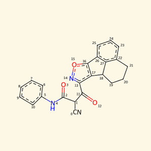 N#CC(C(=O)Nc1ccccc1)C(=O)c1noc2c1C1CCCc3cccc-2c31